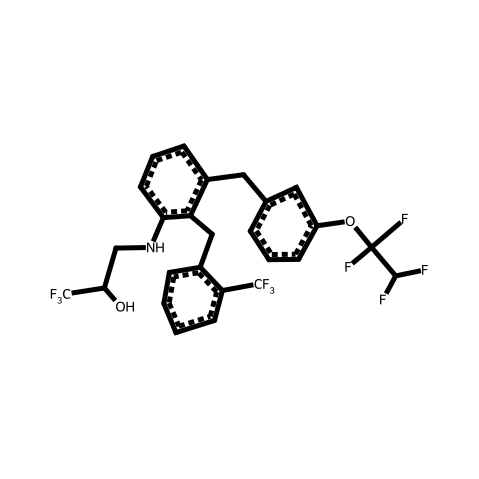 OC(CNc1cccc(Cc2cccc(OC(F)(F)C(F)F)c2)c1Cc1ccccc1C(F)(F)F)C(F)(F)F